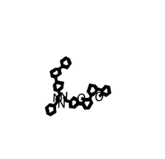 c1ccc(-c2cccc(-c3ccc(-c4nc(-c5ccccc5)nc(-c5ccc6c(c5)oc5c(-c7cccc8c7oc7ccccc78)cccc56)n4)cc3)c2)cc1